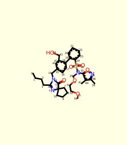 CCCCC1=NC2(CCCC2)C(=O)N1Cc1ccc(-c2ccccc2S(=O)(=O)N(COCCOC)c2onc(C)c2C)c(CO)c1